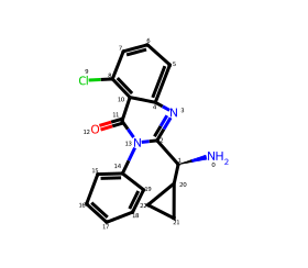 N[C@H](c1nc2cccc(Cl)c2c(=O)n1-c1ccccc1)C1CC1